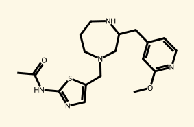 COc1cc(CC2CN(Cc3cnc(NC(C)=O)s3)CCCN2)ccn1